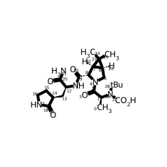 C[C@@H](C(=O)N1C[C@H]2[C@@H]([C@H]1C(=O)N[C@@H](C[C@@H]1CCNC1=O)C(N)=O)C2(C)C)N(C(=O)O)C(C)(C)C